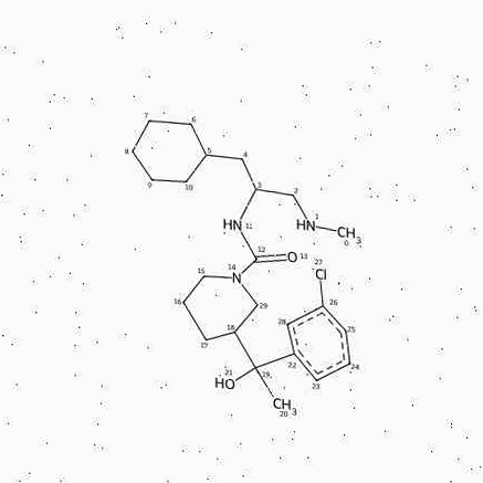 CNCC(CC1CCCCC1)NC(=O)N1CCCC(C(C)(O)c2cccc(Cl)c2)C1